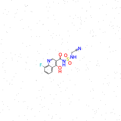 N#CCNS(=O)(=O)NC(=O)c1cnc2c(F)cccc2c1O